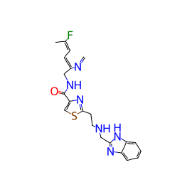 C=N/C(=C\C=C(/C)F)CNC(=O)c1csc(CCNCc2nc3ccccc3[nH]2)n1